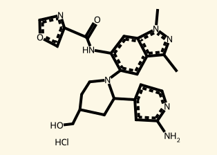 Cc1nn(C)c2cc(NC(=O)c3cocn3)c(N3CCC(CO)CC3c3ccnc(N)c3)cc12.Cl